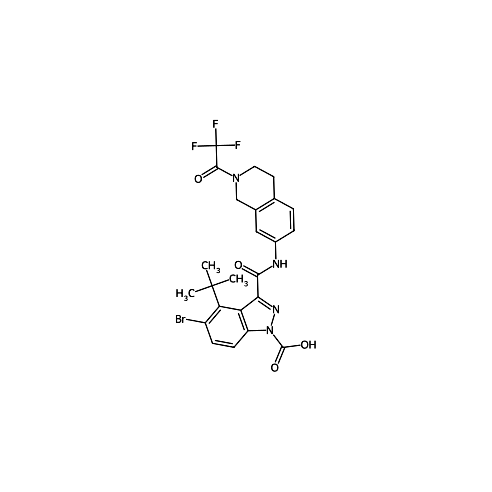 CC(C)(C)c1c(Br)ccc2c1c(C(=O)Nc1ccc3c(c1)CN(C(=O)C(F)(F)F)CC3)nn2C(=O)O